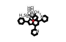 CC1=[C]([Zr]([CH3])([CH3])(=[SiH2])[CH]2C(c3ccccc3)=Cc3c(-c4ccccn4)cc(-c4ccccn4)cc32)CC=C1.Cl.Cl